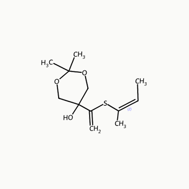 C=C(S/C(C)=C\C)C1(O)COC(C)(C)OC1